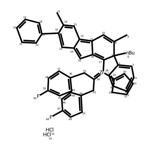 CCCCC1(c2ccccc2)C(C)=CC2=c3cc(C)c(-c4ccccc4)cc3=CC2=[C]1[Zr]([C]1=CC=CC1)=[C](Cc1ccc(F)cc1)Cc1ccc(F)cc1.Cl.Cl